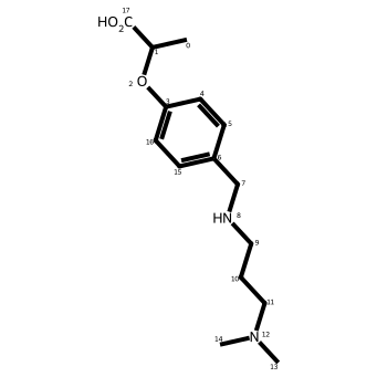 CC(Oc1ccc(CNCCCN(C)C)cc1)C(=O)O